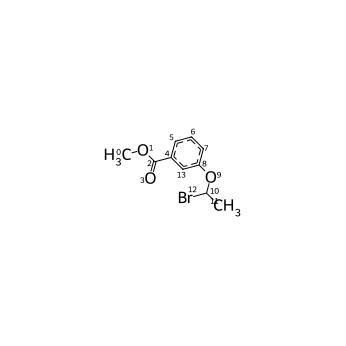 COC(=O)c1cccc(OC(C)Br)c1